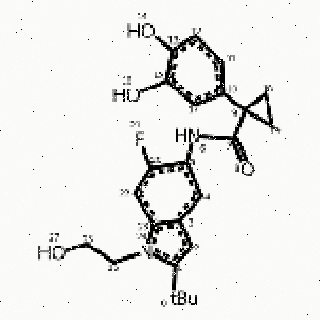 CC(C)(C)c1cc2cc(NC(=O)C3(c4ccc(O)c(O)c4)CC3)c(F)cc2n1CCO